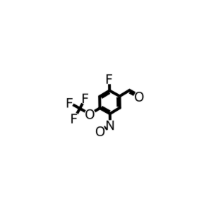 O=Cc1cc(N=O)c(OC(F)(F)F)cc1F